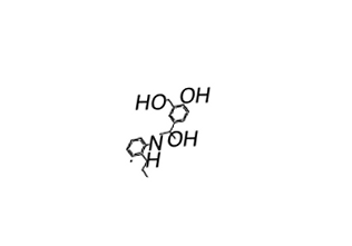 CCCc1[c]cccc1NCC(O)c1ccc(O)c(CO)c1